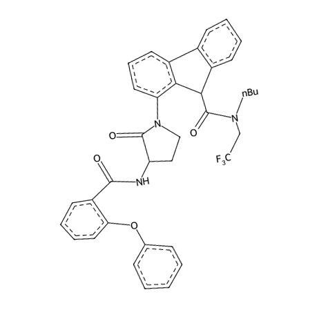 CCCCN(CC(F)(F)F)C(=O)C1c2ccccc2-c2cccc(N3CCC(NC(=O)c4ccccc4Oc4ccccc4)C3=O)c21